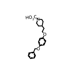 O=C(O)N1CCC(CCOc2ccc(OCc3ccccc3)cc2)CC1